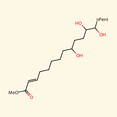 CCCCCC(O)C(O)CCC(O)CCCCCC=CC(=O)OC